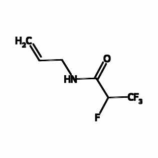 C=CCNC(=O)C(F)C(F)(F)F